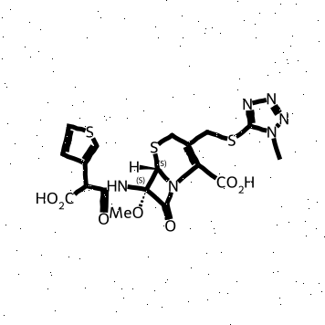 CO[C@@]1(NC(=O)C(C(=O)O)c2ccsc2)C(=O)N2C(C(=O)O)=C(CSc3nnnn3C)CS[C@H]21